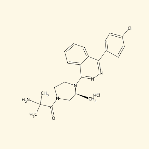 C[C@H]1CN(C(=O)C(C)(C)N)CCN1c1nnc(-c2ccc(Cl)cc2)c2ccccc12.Cl